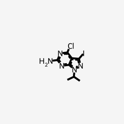 CC(C)n1nc(I)c2c(Cl)nc(N)nc21